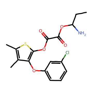 CCC(N)OC(=O)C(=O)Oc1sc(C)c(C)c1Oc1cccc(Cl)c1